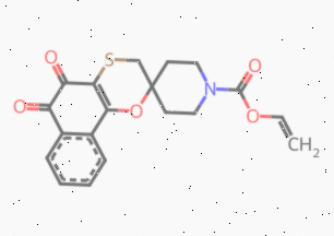 C=COC(=O)N1CCC2(CC1)CSC1=C(O2)c2ccccc2C(=O)C1=O